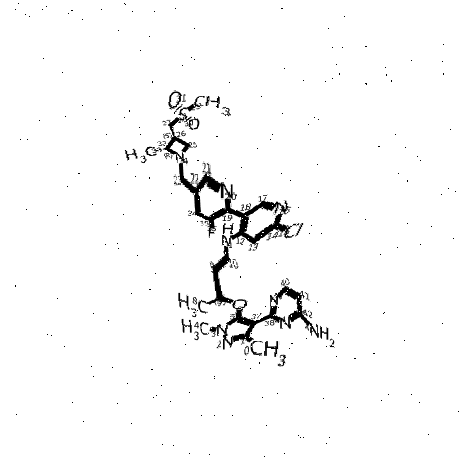 Cc1nn(C)c(O[C@@H](C)CCNc2cc(Cl)ncc2-c2ncc(CN3C[C@H](CS(C)(=O)=O)[C@H]3C)cc2F)c1-c1nccc(N)n1